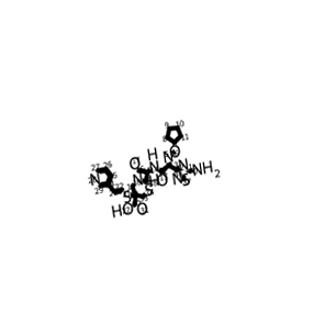 Nc1nc(C(=NOC2CCCC2)C(=O)NC2C(=O)N3CC(SC=Cc4cccnc4)(C(=O)O)CS[C@H]23)ns1